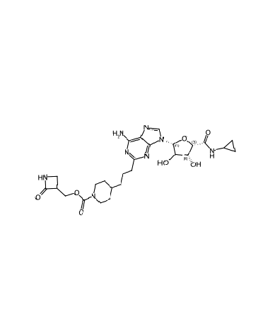 Nc1nc(CCCC2CCN(C(=O)OCC3CNC3=O)CC2)nc2c1ncn2[C@@H]1O[C@H](C(=O)NC2CC2)[C@H](O)C1O